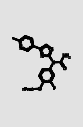 CCCCCOc1ccc(N(C(N)=O)c2nc(-c3ccc(C)nc3)cs2)cc1F